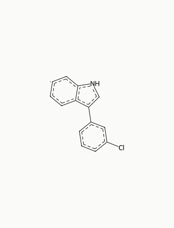 Clc1cccc(-c2c[nH]c3c[c]ccc23)c1